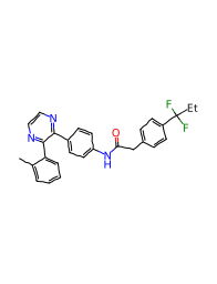 CCC(F)(F)c1ccc(CC(=O)Nc2ccc(-c3nccnc3-c3ccccc3C)cc2)cc1